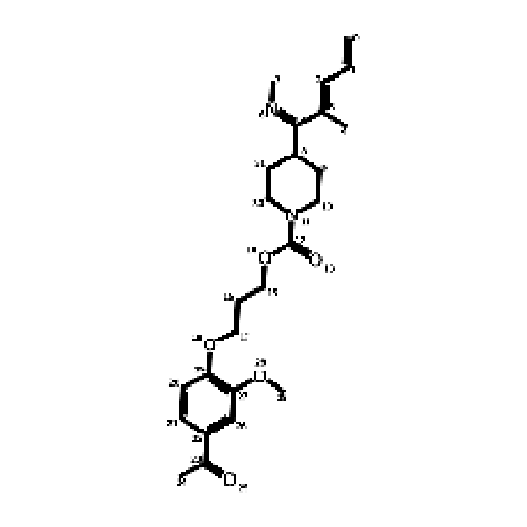 C=C/C=C(C)/C(=N\C)C1CCN(C(=O)OCCCOc2ccc(C(C)=O)cc2OC)CC1